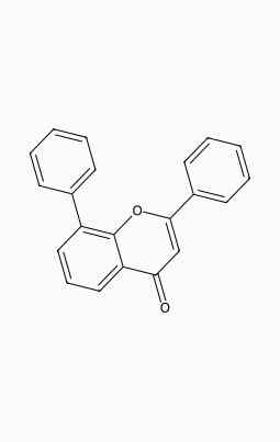 O=c1cc(-c2ccccc2)oc2c(-c3ccccc3)cccc12